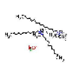 CCCCCCCCCCCCCCCC[N+](C)(C)C.CCCCCCCCCCCC[N+](C)(C)CCCCCCCCCCCC.[Br-].[OH-]